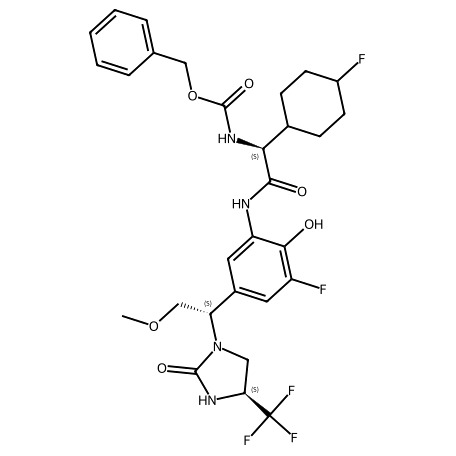 COC[C@H](c1cc(F)c(O)c(NC(=O)[C@@H](NC(=O)OCc2ccccc2)C2CCC(F)CC2)c1)N1C[C@@H](C(F)(F)F)NC1=O